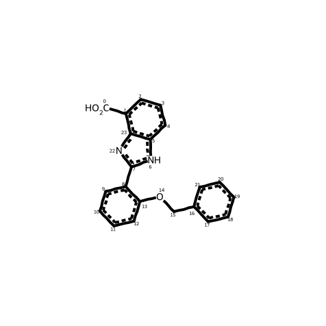 O=C(O)c1cccc2[nH]c(-c3ccccc3OCc3ccccc3)nc12